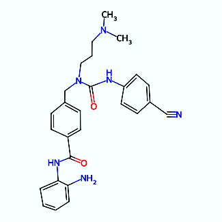 CN(C)CCCN(Cc1ccc(C(=O)Nc2ccccc2N)cc1)C(=O)Nc1ccc(C#N)cc1